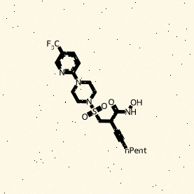 CCCCCC#CC(CS(=O)(=O)N1CCN(c2ccc(C(F)(F)F)cn2)CC1)C(=O)NO